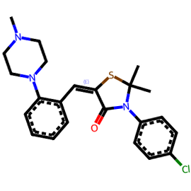 CN1CCN(c2ccccc2/C=C2/SC(C)(C)N(c3ccc(Cl)cc3)C2=O)CC1